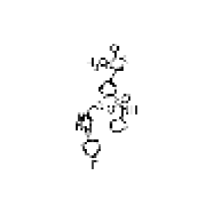 Cn1c(-c2ccc(OCc3cn(-c4ccc(F)cc4)nn3)c(S(=O)(=O)NC3CCCC3)c2)csc1=O